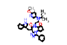 COc1ccc(N(C(=O)CN2C(=O)C(Cc3c[nH]c4ccccc34)c3nnc(-c4ccccc4)n3-c3ccccc32)C(C)C)cn1